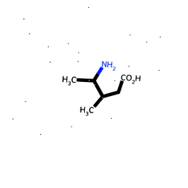 CC(N)C(C)CC(=O)O